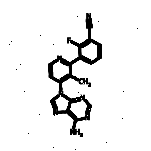 Cc1c(-n2cnc3c(N)ncnc32)ccnc1-c1cccc(C#N)c1F